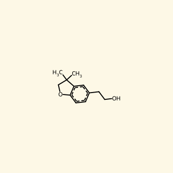 CC1(C)COc2ccc(CCO)cc21